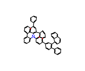 c1ccc(-c2ccc(N(c3ccc(-c4ccc(-c5ccccc5)c(-c5cccc6ccccc56)c4)cc3)c3ccccc3-c3ccccc3)c(-c3ccccc3)c2)cc1